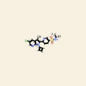 CC[C@H](NS(=O)(=O)c1ccc(-c2c(C#N)c3cc(Cl)cnc3n2C2=CC=C2)nc1)C(F)(F)F